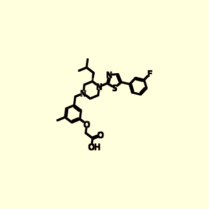 Cc1cc(CN2CCN(c3ncc(-c4cccc(F)c4)s3)[C@H](CC(C)C)C2)cc(OCC(=O)O)c1